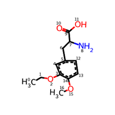 CCOc1cc(CC(N)C(=O)O)ccc1OC